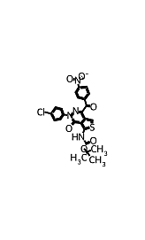 CC(C)(C)OC(=O)Nc1scc2c(C(=O)c3ccc([N+](=O)[O-])cc3)nn(-c3ccc(Cl)cc3)c(=O)c12